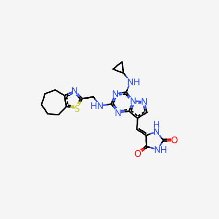 O=C1NC(=O)/C(=C/c2cnn3c(NC4CC4)nc(NCc4nc5c(s4)CCCCC5)nc23)N1